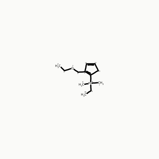 CCOCC1=[C]([Pt]([CH3])([CH3])[CH2]C)CC=C1